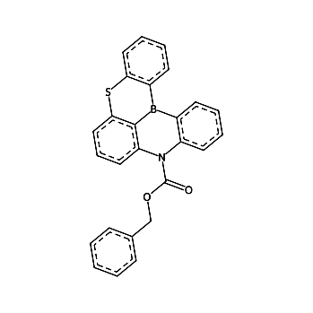 O=C(OCc1ccccc1)N1c2ccccc2B2c3ccccc3Sc3cccc1c32